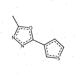 Cc1nnc(-c2ccsc2)o1